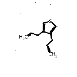 C=CCc1[c]s[c]c1CC=C